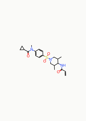 C=CC(=O)NC1C(C)CN(S(=O)(=O)c2ccc(N(C)C(=O)C3CC3)cc2)CC1C